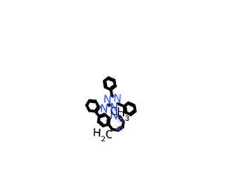 C=C1/C=C\C=C/N(C)c2c1ccc1c3c(n(-c4nc(-c5ccccc5)nc(-c5ccccc5)n4)c21)C=CCC3